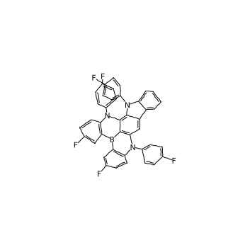 Fc1ccc(N2c3ccc(F)cc3B3c4cc(F)ccc4N(c4ccc(F)cc4)c4c3c2cc2c3ccccc3n(-c3ccc(F)cc3)c42)cc1